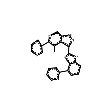 Fc1c(-c2cccnc2)ncc2[nH]nc(-c3nc4c(-c5ccccn5)cccc4[nH]3)c12